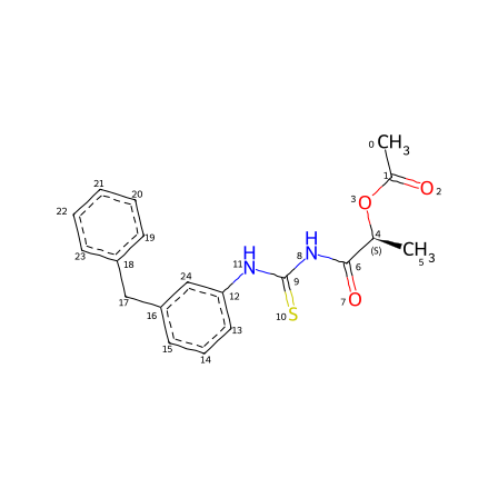 CC(=O)O[C@@H](C)C(=O)NC(=S)Nc1cccc(Cc2ccccc2)c1